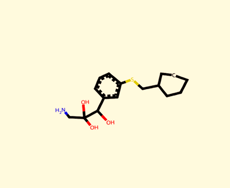 NCC(O)(O)C(O)c1cccc(SCC2CCCCC2)c1